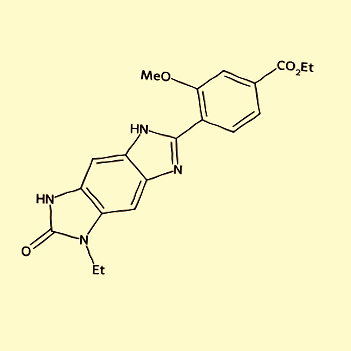 CCOC(=O)c1ccc(-c2nc3cc4c(cc3[nH]2)[nH]c(=O)n4CC)c(OC)c1